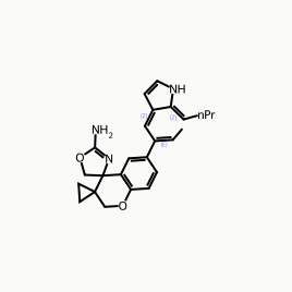 C\C=C(/C=c1/cc[nH]/c1=C\CCC)c1ccc2c(c1)C1(COC(N)=N1)C1(CC1)CO2